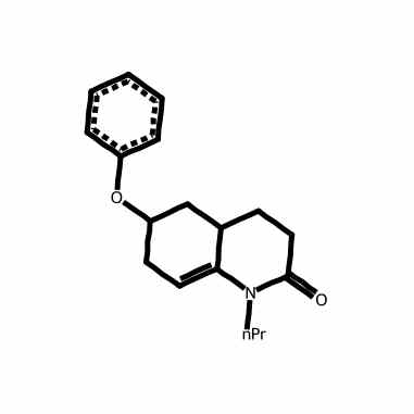 CCCN1C(=O)CCC2CC(Oc3ccccc3)CC=C21